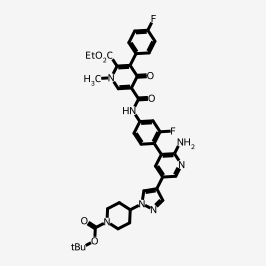 CCOC(=O)c1c(-c2ccc(F)cc2)c(=O)c(C(=O)Nc2ccc(-c3cc(-c4cnn(C5CCN(C(=O)OC(C)(C)C)CC5)c4)cnc3N)c(F)c2)cn1C